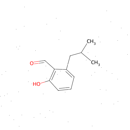 CC(C)Cc1cccc(O)c1C=O